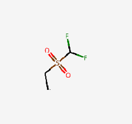 [CH2]CS(=O)(=O)C(F)F